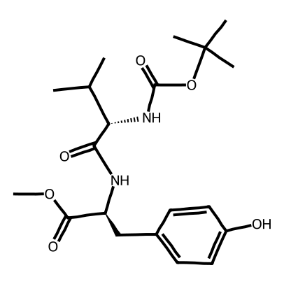 COC(=O)[C@H](Cc1ccc(O)cc1)NC(=O)[C@@H](NC(=O)OC(C)(C)C)C(C)C